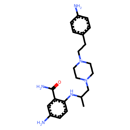 CC(CN1CCN(CCc2ccc(N)cc2)CC1)Nc1ccc(N)cc1C(N)=O